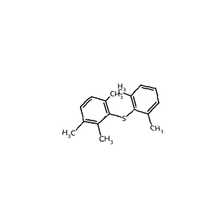 Cc1ccc(C)c(Sc2c(C)cccc2C)c1C